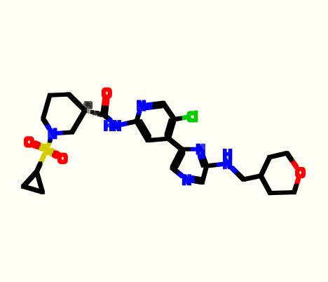 O=C(Nc1cc(-c2cncc(NCC3CCOCC3)n2)c(Cl)cn1)[C@H]1CCCN(S(=O)(=O)C2CC2)C1